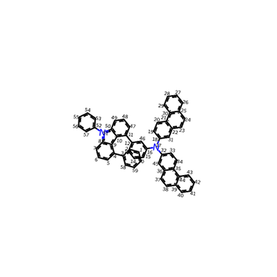 c1ccc(-c2cccc3c2c2c(-c4cccc(N(c5ccc6c(ccc7ccccc76)c5)c5ccc6c(ccc7ccccc76)c5)c4)cccc2n3-c2ccccc2)cc1